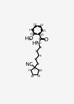 N#CC1(CCCCCNC(=O)c2ccccc2O)CCCC1